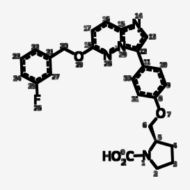 O=C(O)N1CCC[C@@H]1COc1ccc(-c2cnc3ccc(OCc4cccc(F)c4)nn23)cc1